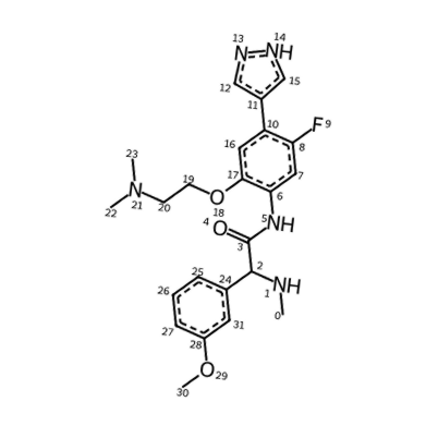 CNC(C(=O)Nc1cc(F)c(-c2cn[nH]c2)cc1OCCN(C)C)c1cccc(OC)c1